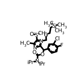 Cc1nc(C(OC(=O)N(C(C)C)C(C)C)c2ccc(F)c(Cl)c2)n(COCC[Si](C)(C)C)c1[S+](C)[O-]